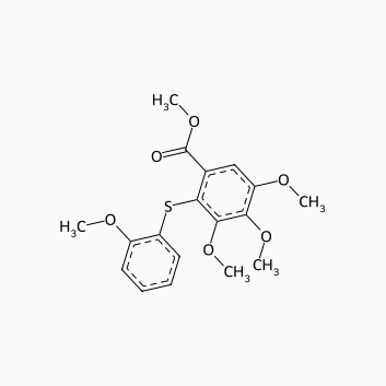 COC(=O)c1cc(OC)c(OC)c(OC)c1Sc1ccccc1OC